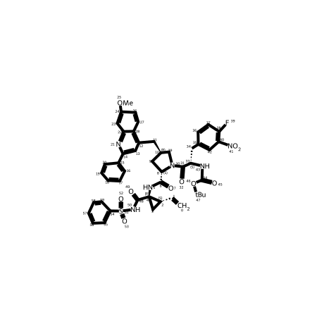 C=C[C@@H]1C[C@]1(NC(=O)[C@@H]1C[C@@H](Cc2cc(-c3ccccc3)nc3cc(OC)ccc23)CN1C(=O)[C@H](Cc1ccc(F)c([N+](=O)[O-])c1)NC(=O)OC(C)(C)C)C(=O)NS(=O)(=O)c1ccccc1